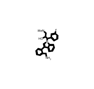 CNCC(O)C(c1cccc(F)c1)n1cc(-c2ccccc2CN)c2ccccc21